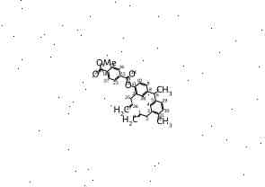 C=CCc1cc(C(C)c2ccc(OC(=O)c3ccc(C(=O)OC)cc3)c(CC=C)c2)ccc1C